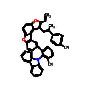 C=Cc1oc2ccc3oc4ccc(-c5cccc(C#N)c5-n5c6ccccc6c6ccccc65)cc4c3c2c1/C=C(\C)c1ccc(C#N)cc1